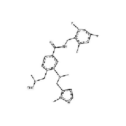 CN(C=O)Cc1ccc(C(=O)NCc2c(F)cc(F)cc2F)cc1N(C)Cc1ccnn1C